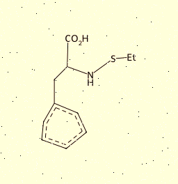 CCSNC(Cc1ccccc1)C(=O)O